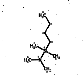 CCCC[Si](C)(C)N(C)C